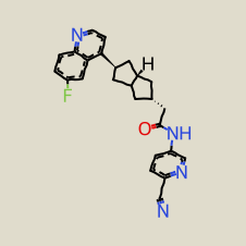 N#Cc1ccc(NC(=O)C[C@@H]2CC3C[C@@H](c4ccnc5ccc(F)cc45)C[C@@H]3C2)cn1